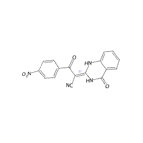 N#C/C(C(=O)c1ccc([N+](=O)[O-])cc1)=C1\NC(=O)c2ccccc2N1